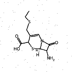 CCSCC1=CN2C(=O)C(N)[C@H]2SC1C(=O)O